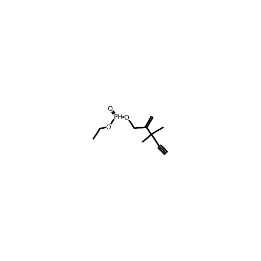 C#CC(C)(C)C(=C)CO[PH](=O)OCC